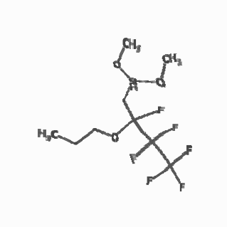 CCCOC(F)(C[SiH](OC)OC)C(F)(F)C(F)(F)F